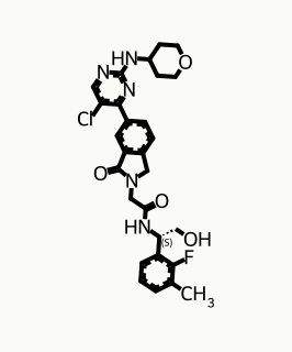 Cc1cccc([C@@H](CO)NC(=O)CN2Cc3ccc(-c4nc(NC5CCOCC5)ncc4Cl)cc3C2=O)c1F